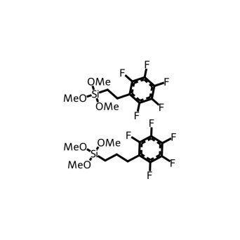 CO[Si](CCCc1c(F)c(F)c(F)c(F)c1F)(OC)OC.CO[Si](CCc1c(F)c(F)c(F)c(F)c1F)(OC)OC